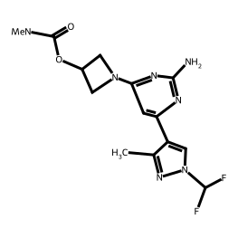 CNC(=O)OC1CN(c2cc(-c3cn(C(F)F)nc3C)nc(N)n2)C1